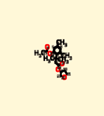 CC(=O)Oc1cc(C)cc(C)c1C(C)(C)CC(=O)OC1CCOC1